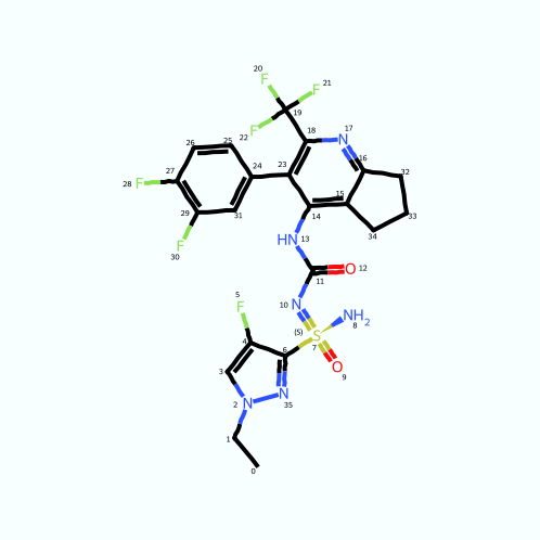 CCn1cc(F)c([S@@](N)(=O)=NC(=O)Nc2c3c(nc(C(F)(F)F)c2-c2ccc(F)c(F)c2)CCC3)n1